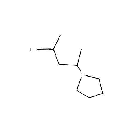 CCC(C)C(C)CC(C)N1CCCC1